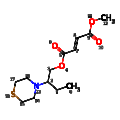 CCC(COC(=O)C=CC(=O)OC)N1CCSCC1